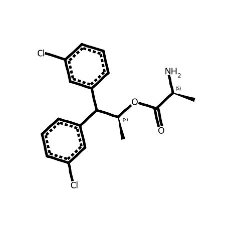 C[C@H](N)C(=O)O[C@@H](C)C(c1cccc(Cl)c1)c1cccc(Cl)c1